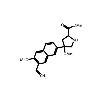 C=Cc1cc2cc(C3(OC)CN[C@H](C(=O)OC)C3)ccc2cc1OC